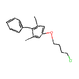 Cc1cc(OCCCCCl)cc(C)c1-c1ccccc1